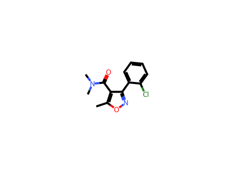 Cc1onc(-c2ccccc2Cl)c1C(=O)N(C)C